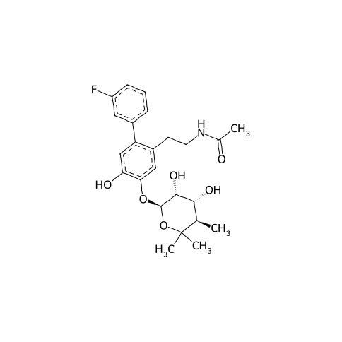 CC(=O)NCCc1cc(O[C@@H]2OC(C)(C)[C@H](C)[C@@H](O)[C@H]2O)c(O)cc1-c1cccc(F)c1